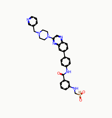 O=C(Nc1ccc(-c2ccc3ncc(N4CCN(Cc5cccnc5)CC4)nc3c2)cc1)c1cccc(NC[SH](=O)=O)c1